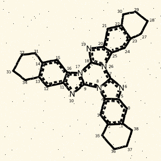 c1c2c(cc3c1nc1n3c3nc4cc5c(cc4n3c3nc4cc6c(cc4n13)CCCC6)CCCC5)CCCC2